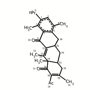 CCCc1cc(C)c2c(c1C)C(=O)C1=C(C)C3(C)C(=O)C(C(C)=O)=C(C)CC3CC1C2